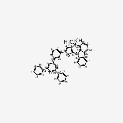 CC1(C)c2cc(-c3cccc(-c4cc(-c5ccccc5)nc(-c5ccccc5)n4)c3)sc2-n2c3ccccc3c3cccc1c32